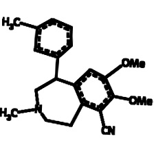 COc1cc2c(c(C#N)c1OC)CCN(C)CC2c1cccc(C)c1